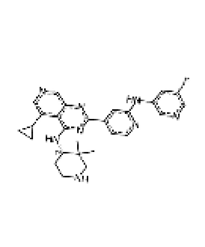 CC1(C)CNCC[C@@H]1Nc1nc(-c2ccnc(Nc3cncc(F)c3)c2)nc2cncc(C3CC3)c12